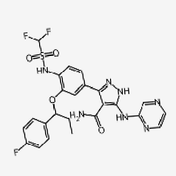 CCC(Oc1cc(-c2n[nH]c(Nc3cnccn3)c2C(N)=O)ccc1NS(=O)(=O)C(F)F)c1ccc(F)cc1